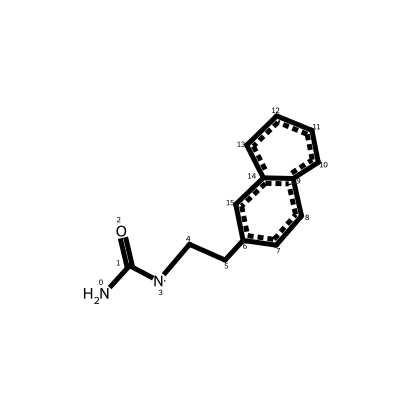 NC(=O)[N]CCc1ccc2ccccc2c1